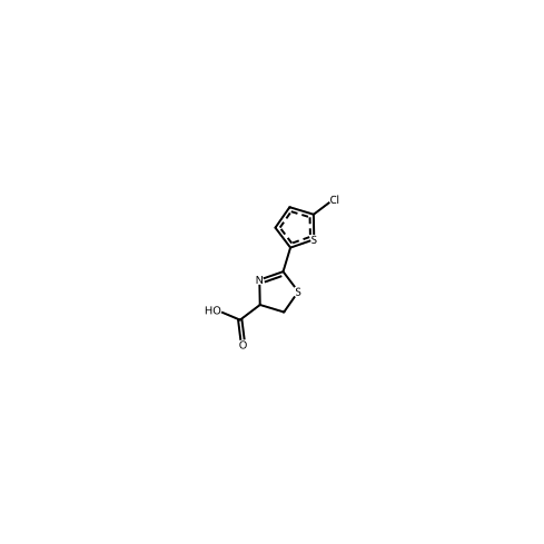 O=C(O)C1CSC(c2ccc(Cl)s2)=N1